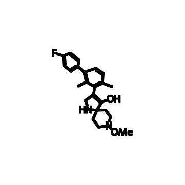 CON1CCC2(CC1)NCC(c1c(C)ccc(-c3ccc(F)cc3)c1C)=C2O